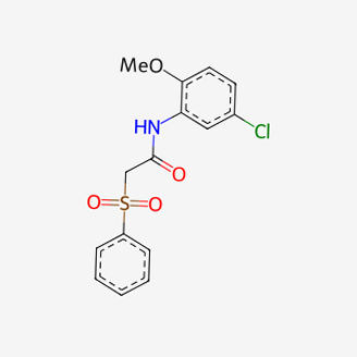 COc1ccc(Cl)cc1NC(=O)CS(=O)(=O)c1ccccc1